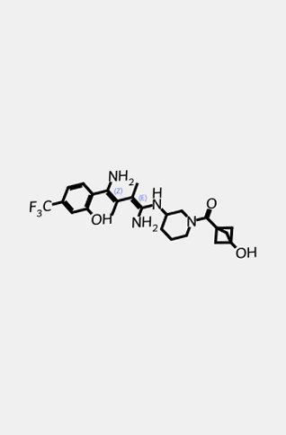 CC(=C(/N)c1ccc(C(F)(F)F)cc1O)/C(C)=C(\N)NC1CCCN(C(=O)C23CC(O)(C2)C3)C1